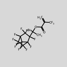 C=C(C(=O)OC(C)(CCCC)C1(F)C(F)(F)C2(F)C(F)(F)C(F)(F)C1(F)C2(F)F)C(F)(F)F